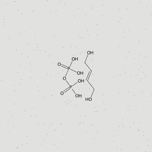 O=P(O)(O)OP(=O)(O)O.OCC=CCO